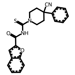 N#CC1(c2ccccc2)CCN(C(=S)NC(=O)c2cc3ccccc3o2)CC1